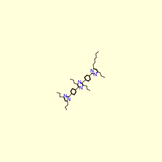 CCCCCCc1cc(CCC)nc(-c2ccc(-c3nc(CCC)c(-c4ccc(-c5nc(CCC)cc(CCC)n5)cc4)nc3CCC)cc2)n1